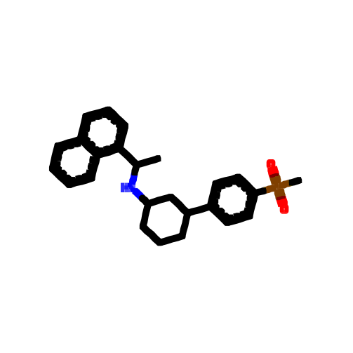 CC(NC1CCCC(c2ccc(S(C)(=O)=O)cc2)C1)c1cccc2ccccc12